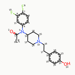 CCC(=O)N(c1ccc(F)c(F)c1)C1CCN(CCc2ccc(O)cc2)CC1